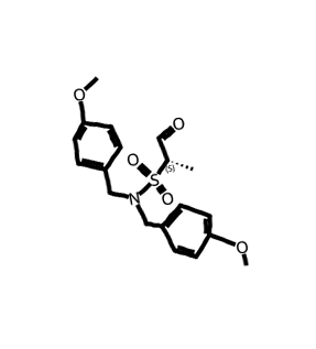 COc1ccc(CN(Cc2ccc(OC)cc2)S(=O)(=O)[C@@H](C)C=O)cc1